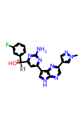 CC[C@@](O)(c1cccc(F)c1)c1cc(-c2c[nH]c3ncc(-c4cnn(C)c4)nc23)nc(N)n1